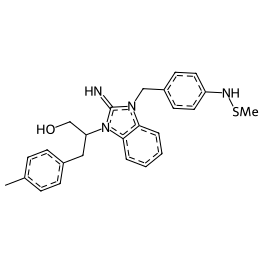 CSNc1ccc(Cn2c(=N)n(C(CO)Cc3ccc(C)cc3)c3ccccc32)cc1